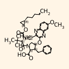 C=CCCC[C@@H]1C[C@H]1OC(=O)N[C@H](C(=O)N1C[C@H](Oc2nc3cc(OC)ccc3nc2Cl)[C@@H](Cc2ccccc2)[C@H]1C(=O)O)C(C)(C)C